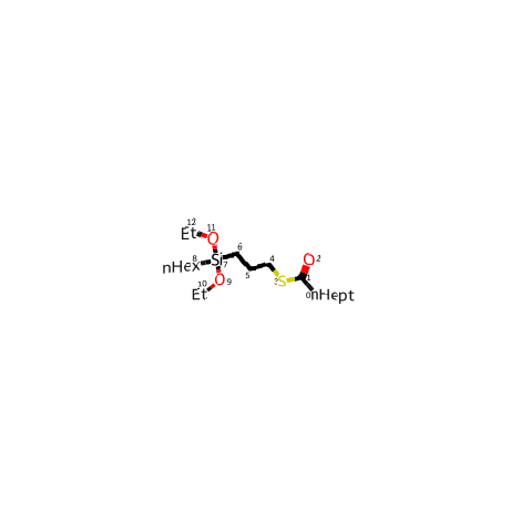 CCCCCCCC(=O)SCCC[Si](CCCCCC)(OCC)OCC